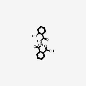 O=C(NNC(=O)c1ccccc1C(=O)O)c1ccccc1O